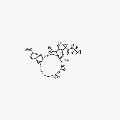 CC[C@@H]1[C@@H]2CN(C(=O)[C@H](C(C)(C)C)NC(=O)O[C@@H]3CC3CCCCCc3nc4ccc(OC)cc4nc3O2)[C@@H]1C(=O)N[C@]1(C(=O)NS(=O)(=O)C2(C)CC2)C[C@H]1CC